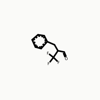 O=CC(Cc1ccccc1)C(F)(F)F